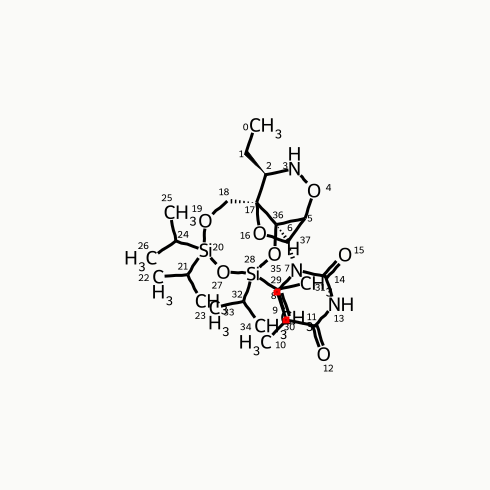 CC[C@H]1NOC2[C@H](n3cc(C)c(=O)[nH]c3=O)O[C@@]13CO[Si](C(C)C)(C(C)C)O[Si](C(C)C)(C(C)C)O[C@H]23